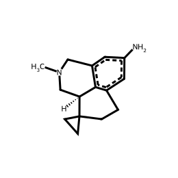 CN1Cc2cc(N)cc3c2[C@H](C1)C1(CC3)CC1